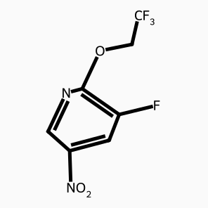 O=[N+]([O-])c1cnc(OCC(F)(F)F)c(F)c1